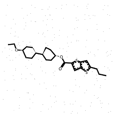 CCCc1cc2sc(C(=O)O[C@H]3CC[C@H]([C@H]4CC[C@H](OCC)CC4)CC3)cc2s1